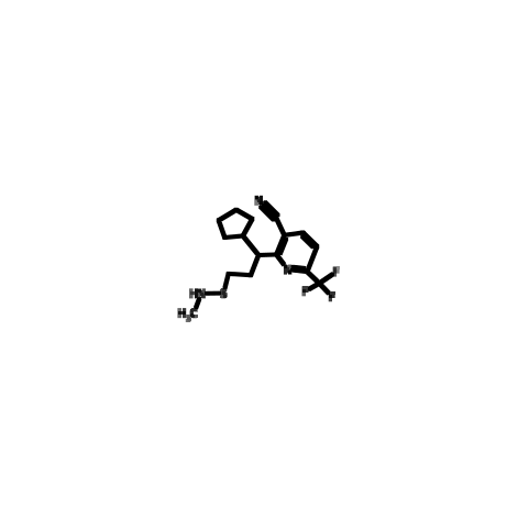 CNSCCC(c1nc(C(F)(F)F)ccc1C#N)C1CCCC1